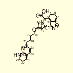 Cc1noc2cccc(C(C(=O)O)N3CC[C@@H](OCCCCc4ccc5c(n4)NCCC5)C3)c12